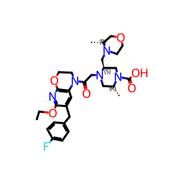 CCOc1nc2c(cc1Cc1ccc(F)cc1)N(C(=O)CN1C[C@@H](C)N(C(=O)O)C[C@@H]1CN1CCOC[C@H]1C)CCO2